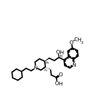 COc1ccc2nccc([C@H](O)CC[C@@H]3CCN(CCC4CCCCC4)C[C@H]3CCC(=O)O)c2c1